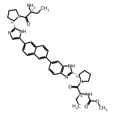 CC[C@H](NC(=O)OC)C(=O)N1CCC[C@H]1c1nc2ccc(-c3ccc4cc(-c5cnc([C@@H]6CCCN6C(=O)[C@@H](N)CC)[nH]5)ccc4c3)cc2[nH]1